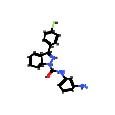 Nc1cccc(NC(=O)n2nc(-c3ccc(F)cc3)c3c[c]ccc32)c1